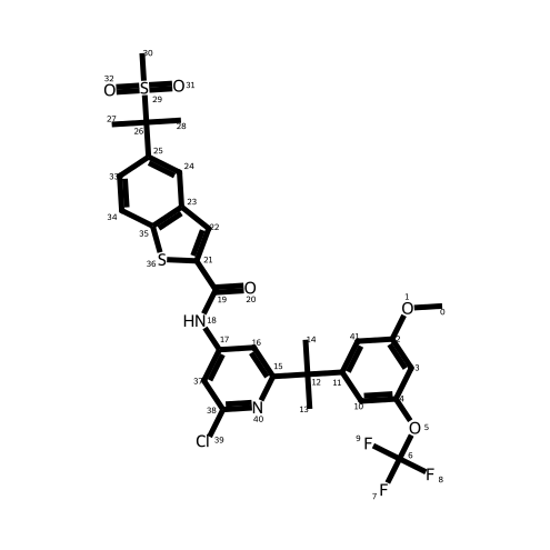 COc1cc(OC(F)(F)F)cc(C(C)(C)c2cc(NC(=O)c3cc4cc(C(C)(C)S(C)(=O)=O)ccc4s3)cc(Cl)n2)c1